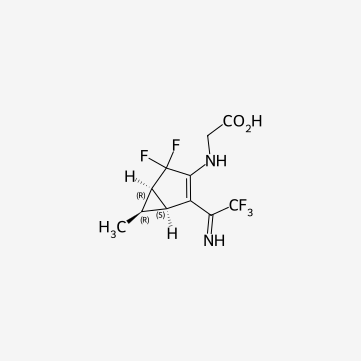 C[C@@H]1[C@@H]2C(C(=N)C(F)(F)F)=C(NCC(=O)O)C(F)(F)[C@H]12